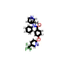 O=C(c1ccc(Oc2ccc(C(F)(F)F)cn2)cc1)N(c1ccccc1)[C@H]1CN2CCC1CC2